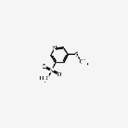 CS(=O)(=O)c1cn[c]c(SC(F)(F)F)c1